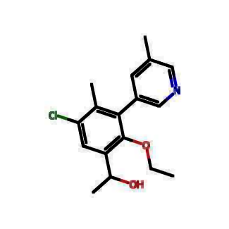 CCOc1c(C(C)O)cc(Cl)c(C)c1-c1cncc(C)c1